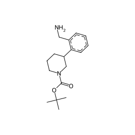 CC(C)(C)OC(=O)N1CCCC(c2ccccc2CN)C1